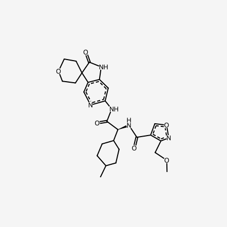 COCc1nocc1C(=O)N[C@H](C(=O)Nc1cc2c(cn1)C1(CCOCC1)C(=O)N2)C1CCC(C)CC1